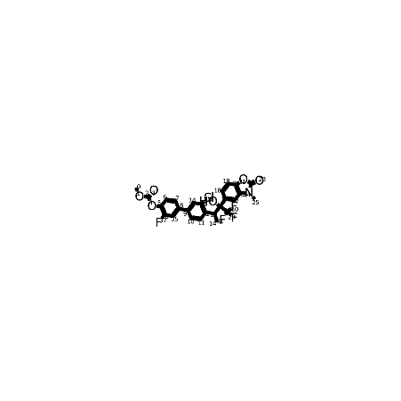 COC(=O)Oc1ccc(-c2ccc(C(C)C(O)(c3ccc4oc(=O)n(C)c4c3)C(F)(F)F)c(Cl)c2)cc1F